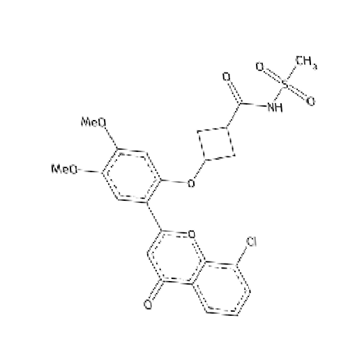 COc1cc(OC2CC(C(=O)NS(C)(=O)=O)C2)c(-c2cc(=O)c3cccc(Cl)c3o2)cc1OC